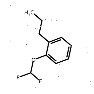 CCCc1ccccc1OC(F)F